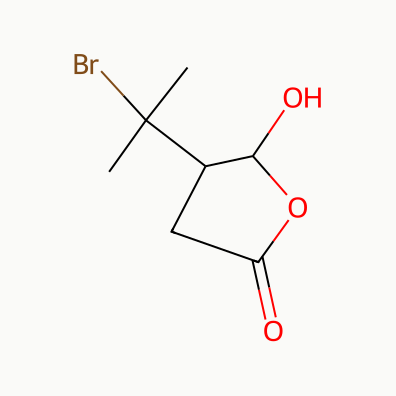 CC(C)(Br)C1CC(=O)OC1O